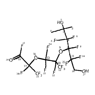 CC(C)(O)C(F)(F)C(F)(OC(F)(C(F)(F)F)C(F)(F)OC(F)(C(=O)F)C(F)(F)F)C(F)(F)CO